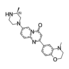 C[C@H]1CN(c2ccc3nc(-c4ccc5c(c4)N(C)CCO5)cc(=O)n3c2)CCN1